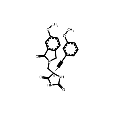 COc1cccc(C#C[C@]2(CN3Cc4ccc(OC)cc4C3=O)NC(=O)NC2=O)c1